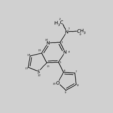 CN(C)c1nc(-c2ccco2)c2sccc2n1